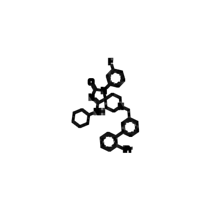 CC(C)c1ccccc1-c1cccc(CN2CCC3(CC2)C(NC2CCCCC2)=NC(=O)N3c2cccc(F)c2)c1